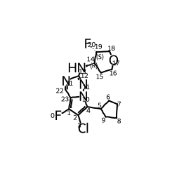 Fc1c(Cl)c(C2CCCC2)n2nc(N[C@@H]3CCOC[C@H]3F)ncc12